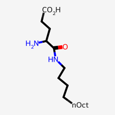 CCCCCCCCCCCCNC(=O)C(N)CCC(=O)O